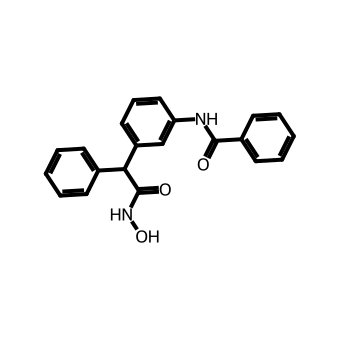 O=C(Nc1cccc(C(C(=O)NO)c2ccccc2)c1)c1ccccc1